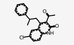 CC(=O)c1c(CC(C)c2ccccc2)c2cc(Cl)ccc2[nH]c1=O